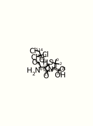 CC1(C)S[C@@H]2[C@H](C(N)C(=O)OC(Cl)(Cl)CCl)C(=O)N2[C@H]1C(=O)O